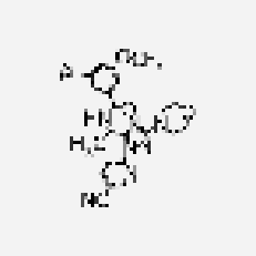 CC(NC(=O)c1cc(OC(F)(F)F)cc(C2CC2)c1)c1nc(N2CCOCC2)nn1-c1ccc(C#N)cn1